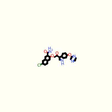 NC(=O)c1cc2cc(Cl)ccc2cc1OCC(=O)c1c[nH]c2cc(Oc3cnccn3)ccc12